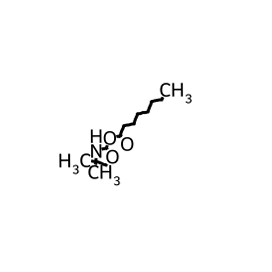 CCCCCCCC(=O)OC1NC(C)(C)CO1